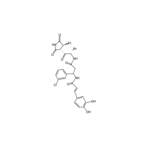 CC[C@@H]1C(=O)NC(=O)[C@H]1C(=O)[C@@H](NC(=O)CC(NC(=O)/C=C/c1ccc(O)c(O)c1)c1cccc(Cl)c1)C(C)C